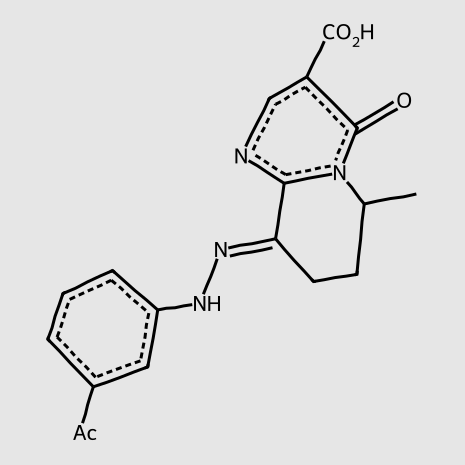 CC(=O)c1cccc(NN=C2CCC(C)n3c2ncc(C(=O)O)c3=O)c1